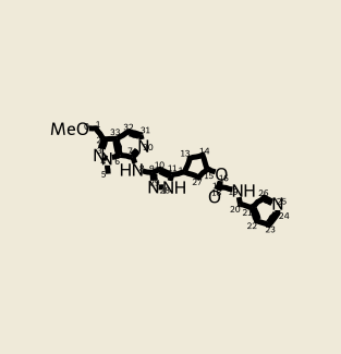 COCc1nn(C)c2c(Nc3cc(C4CCC(OC(=O)NCc5cccnc5)C4)[nH]n3)nccc12